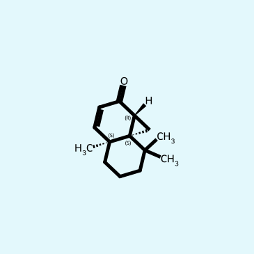 CC1(C)CCC[C@@]2(C)C=CC(=O)[C@@H]3C[C@]312